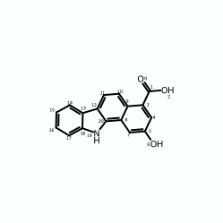 O=C(O)c1cc(O)cc2c1ccc1c3ccccc3[nH]c21